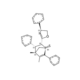 CC1=C(c2ccccc2)[P@@]2(=S)C[C@@]1(C)[C@H](c1ccccc1)[C@@H]2C1=N[C@@H](c2ccccc2)CO1